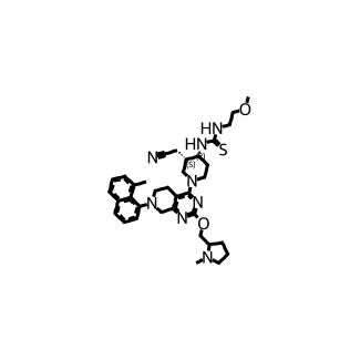 COCCNC(=S)N[C@@H]1CCN(c2nc(OCC3CCCN3C)nc3c2CCN(c2cccc4cccc(C)c24)C3)C[C@@H]1CC#N